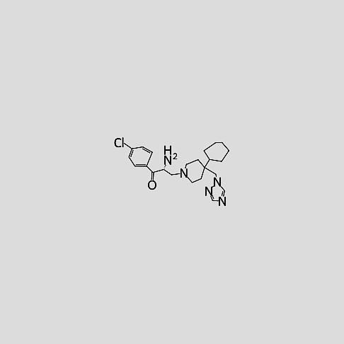 N[C@H](CN1CCC(Cn2cncn2)(C2CCCCC2)CC1)C(=O)c1ccc(Cl)cc1